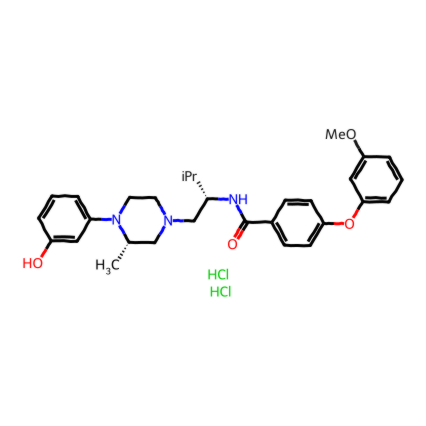 COc1cccc(Oc2ccc(C(=O)N[C@H](CN3CCN(c4cccc(O)c4)[C@@H](C)C3)C(C)C)cc2)c1.Cl.Cl